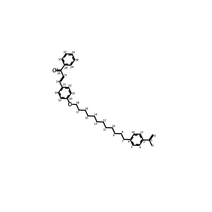 C=C(C)c1ccc(CCCCCCCCCCCCOc2ccc(C=CC(=O)c3ccccc3)cc2)cc1